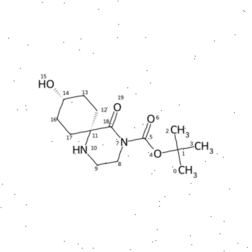 CC(C)(C)OC(=O)N1CCN[C@]2(CC[C@@H](O)CC2)C1=O